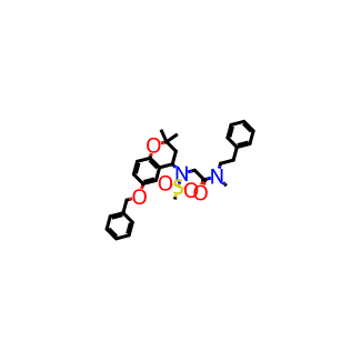 CN(CCc1ccccc1)C(=O)CN(C1CC(C)(C)Oc2ccc(OCc3ccccc3)cc21)S(C)(=O)=O